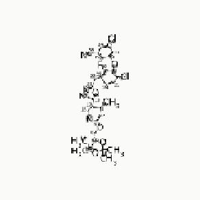 Cc1cc(OC[C@@H]2OC(C)(C)OC2(C)C)ncc1-c1nnc(Cc2ccc(Cl)c(Oc3cc(Cl)cc(C#N)c3)c2F)o1